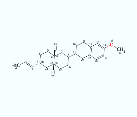 CC=C[C@@H]1CC[C@@H]2CC(C3CCc4cc(OC)ccc4C3)CC[C@@H]2C1